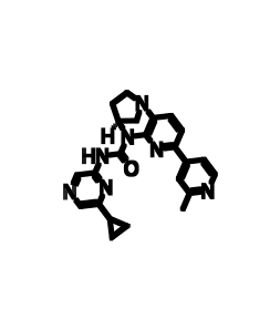 Cc1cc(-c2ccc3c(n2)N(C(=O)Nc2cncc(C4CC4)n2)[C@H]2CCN3C2)ccn1